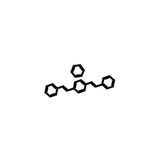 C(=Cc1ccc(C=Cc2ccccc2)cc1)c1ccccc1.c1ccccc1